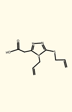 C=CCSc1nnc(CC(=O)O)n1CC=C